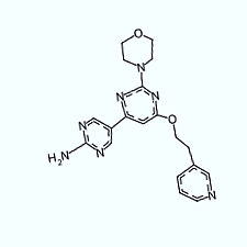 Nc1ncc(-c2cc(OCCc3cccnc3)nc(N3CCOCC3)n2)cn1